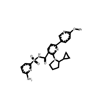 CC(C)Oc1ccc(-c2ccc(C(=O)NS(=O)(=O)c3cccc(N)n3)c(N3CCCC3C3CC3)n2)cn1